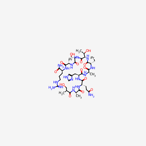 CC(C)C[C@H](NC(=O)[C@H](C)NC(=O)[C@H](Cc1c[nH]cn1)NC(=O)[C@H](CCC(N)=O)NC(=O)[C@H](C)NC(=O)[C@@H](C)CO)C(=O)N[C@H](C(=O)N[C@@H](CO)C(=O)N[C@H](C(=O)N[C@@H](CCCNC(=N)N)C(N)=O)C(C)C)[C@@H](C)O